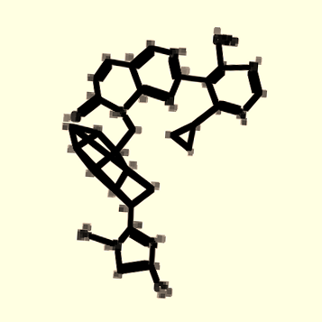 COc1ncnc(C2CC2)c1-c1ncc2ccc(=O)n(CC34C5C6C7C3C73C4C5C63c3nc(C(F)(F)F)cn3C(C)C)c2n1